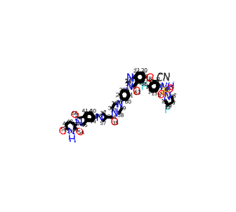 N#Cc1c(NS(=O)(=O)N2CC[C@@H](F)C2)ccc(F)c1Oc1ccc2ncn(-c3ccc(N4CCN(C(=O)C5CN(c6ccc7c(c6)CN([C@H]6CCC(=O)NC6=O)C7=O)C5)CC4)cc3)c(=O)c2c1